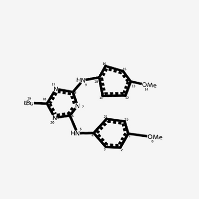 COc1ccc(Nc2nc(Nc3ccc(OC)cc3)nc(C(C)(C)C)n2)cc1